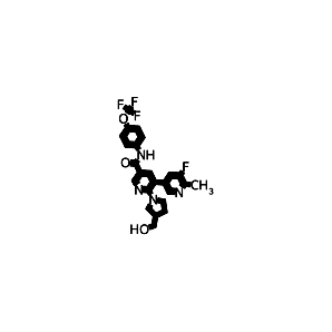 Cc1ncc(-c2cc(C(=O)Nc3ccc(OC(F)(F)F)cc3)cnc2N2CCC(CO)C2)cc1F